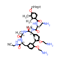 CCCCCCCOc1ccc(C(=O)N[C@@H](CCN)C(=O)N(C)[C@@H]2C(=O)N[C@@H](C)C(=O)N[C@H](C(=O)NCC#N)Cc3ccc(OCCN)c(c3)-c3cc2ccc3OCCN)c(C)c1C